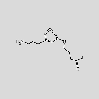 NCCCc1cccc(OCCCC(=O)I)c1